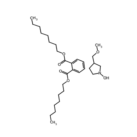 CCCCCCCCOC(=O)c1ccccc1C(=O)OCCCCCCCC.COCC1CCN(O)C1